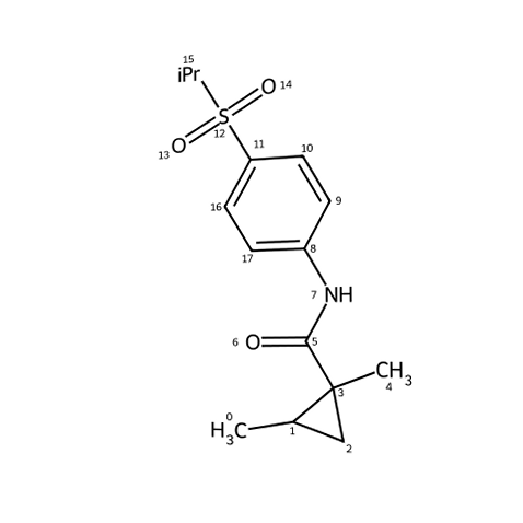 CC1CC1(C)C(=O)Nc1ccc(S(=O)(=O)C(C)C)cc1